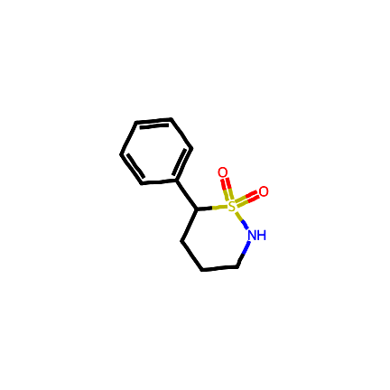 O=S1(=O)NCCCC1c1ccccc1